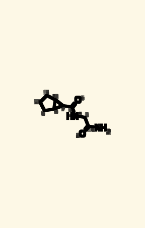 NC(=O)CNC(=O)C1C2CCCC21